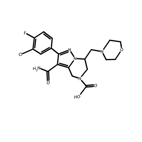 NC(=O)c1c(-c2ccc(F)c(Cl)c2)nn2c1CN(C(=O)O)CC2CN1CCOCC1